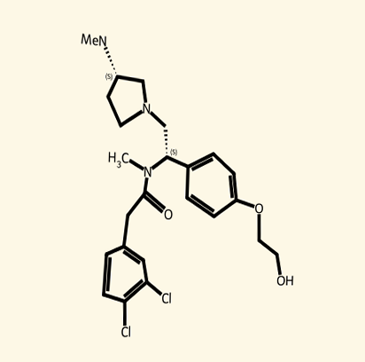 CN[C@H]1CCN(C[C@H](c2ccc(OCCO)cc2)N(C)C(=O)Cc2ccc(Cl)c(Cl)c2)C1